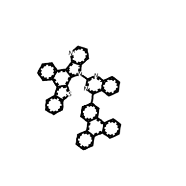 c1ccc2c(-c3ccc4c5ccccc5c5ccccc5c4c3)nc(-n3c4cccnc4c4c5ccccc5c5c6ccccc6sc5c43)nc2c1